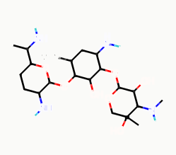 CNC1CC(NF)C(OC2OCC(C)(O)C(N(C)F)C2O)C(O)C1OC1OC(C(C)NF)CCC1NF